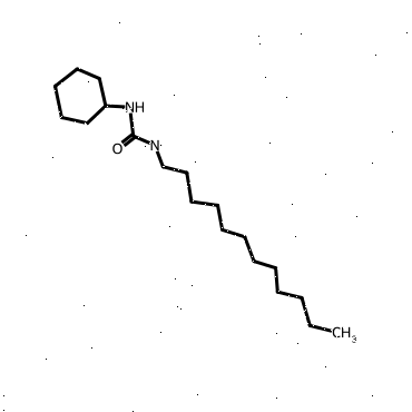 CCCCCCCCCCCC[N]C(=O)NC1CCCCC1